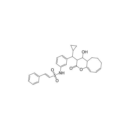 O=C1OC2=CC=CCCCC2C(O)C1C(c1cccc(NS(=O)(=O)C=Cc2ccccc2)c1)C1CC1